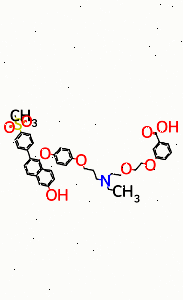 CCN(CCCOc1ccc(Oc2c(-c3ccc(S(C)(=O)=O)cc3)ccc3cc(O)ccc23)cc1)CCOCCOc1cccc(C(=O)O)c1